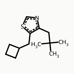 CC(C)(C)Cc1ncsc1CC1CCC1